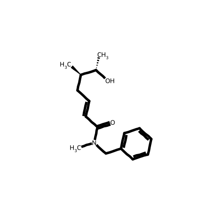 C[C@H](O)[C@H](C)C/C=C/C(=O)N(C)Cc1ccccc1